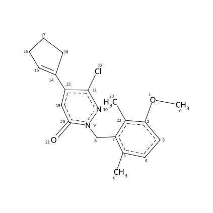 COc1ccc(C)c(Cn2nc(Cl)c(C3=CCCC3)cc2=O)c1C